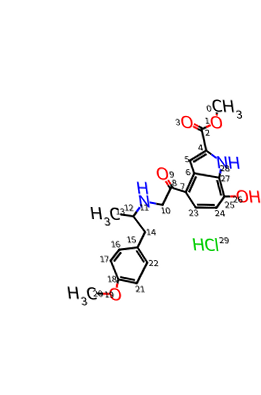 COC(=O)c1cc2c(C(=O)CNC(C)Cc3ccc(OC)cc3)ccc(O)c2[nH]1.Cl